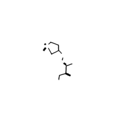 CCOC(=O)/C(=N\OC1CCS(=O)(=O)C1)C(=O)CCl